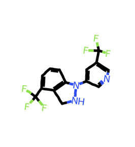 FC(F)(F)c1cncc(N2NCc3c2cccc3C(F)(F)F)c1